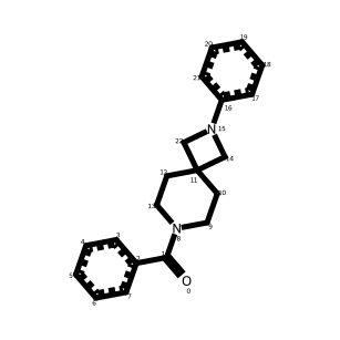 O=C(c1ccccc1)N1CCC2(CC1)CN(c1ccccc1)C2